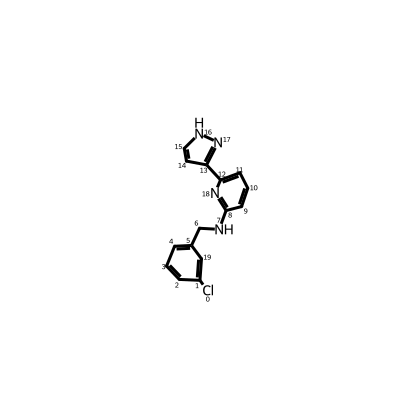 Clc1cccc(CNc2cccc(-c3cc[nH]n3)n2)c1